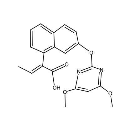 C/C=C(/C(=O)O)c1cccc2ccc(Oc3nc(OC)cc(OC)n3)cc12